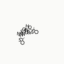 Cc1c(C(=O)C(Br)NS(=O)(=O)c2nn3c(-c4sc5ccccc5c4C)cnc3s2)sc2ccccc12